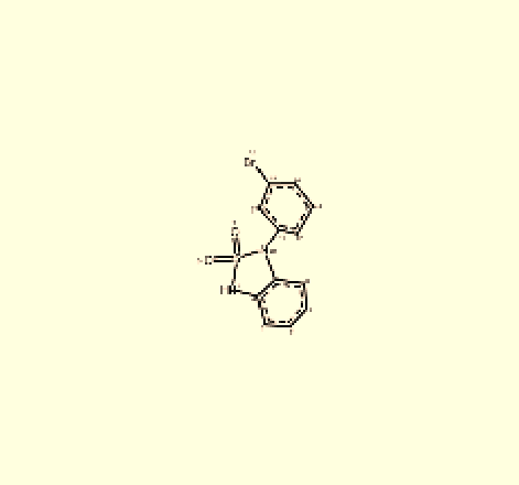 O=S1(=O)Nc2ccccc2N1c1cccc(Br)c1